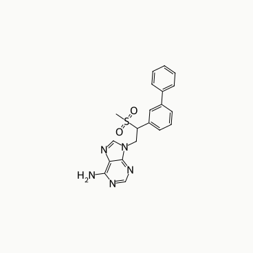 CS(=O)(=O)C(Cn1cnc2c(N)ncnc21)c1cccc(-c2ccccc2)c1